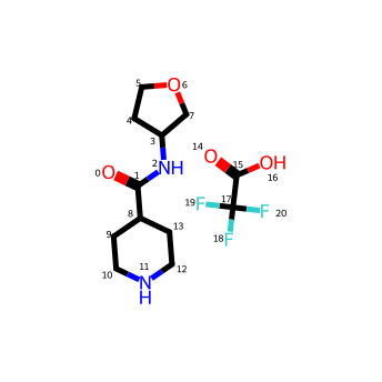 O=C(NC1CCOC1)C1CCNCC1.O=C(O)C(F)(F)F